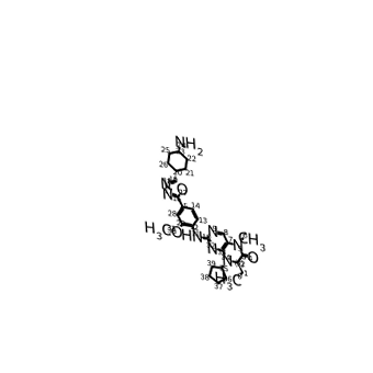 CC[C@@H]1C(=O)N(C)c2cnc(Nc3ccc(-c4nnc([C@H]5CC[C@H](N)CC5)o4)cc3OC)nc2N1C1CCCC1